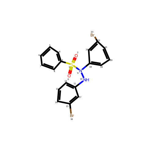 O=S(=O)(c1ccccc1)N(Nc1cccc(Br)c1)c1cccc(Br)c1